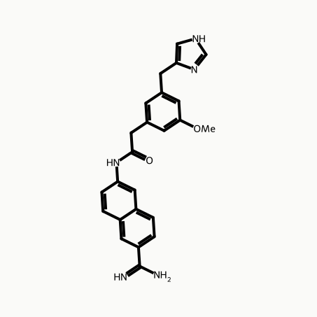 COc1cc(CC(=O)Nc2ccc3cc(C(=N)N)ccc3c2)cc(Cc2c[nH]cn2)c1